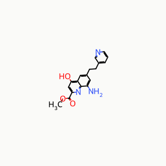 COC(=O)c1cc(O)c2cc(CCc3cccnc3)cc(N)c2n1